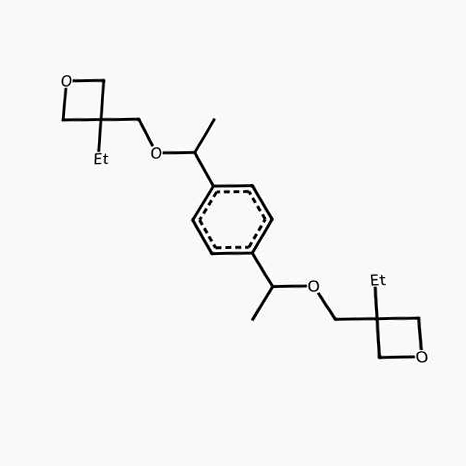 CCC1(COC(C)c2ccc(C(C)OCC3(CC)COC3)cc2)COC1